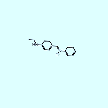 CCNc1ccc(C=[N+]([O-])c2ccccc2)cc1